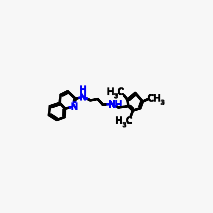 Cc1cc(C)c(CNCCCNc2ccc3ccccc3n2)c(C)c1